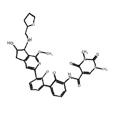 COc1nc(-c2cccc(-c3cccc(NC(=O)c4cn(C)c(=O)n(C)c4=O)c3Cl)c2Cl)cc2c1C(NCC1CCCO1)C(O)C2